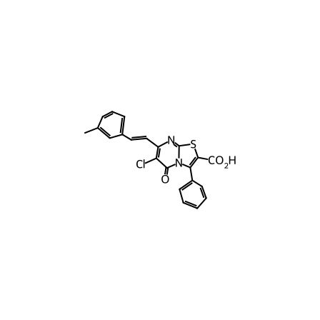 Cc1cccc(/C=C/c2nc3sc(C(=O)O)c(-c4ccccc4)n3c(=O)c2Cl)c1